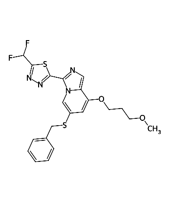 COCCCOc1cc(SCc2ccccc2)cn2c(-c3nnc(C(F)F)s3)ncc12